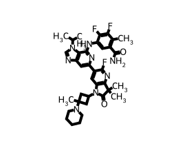 Cc1c(C(N)=O)cc(Nc2nc(-c3cc4c(nc3F)C(C)(C)C(=O)N4C3CC(C)(N4CCCCC4)C3)cc3ncn(C(C)C)c23)c(F)c1F